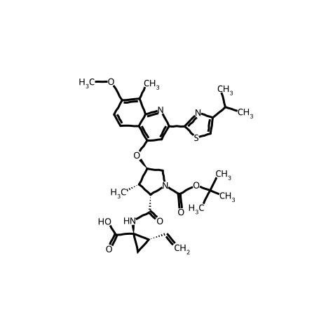 C=C[C@@H]1C[C@]1(NC(=O)[C@@H]1[C@H](C)[C@@H](Oc2cc(-c3nc(C(C)C)cs3)nc3c(C)c(OC)ccc23)CN1C(=O)OC(C)(C)C)C(=O)O